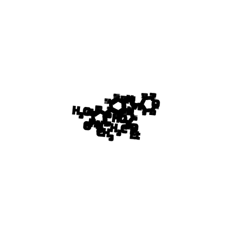 CCO[C@@](C)(O)Cn1c(C2CCOCC2)nc2ccc(-c3cc(C)c(=O)n(C)c3)cc21